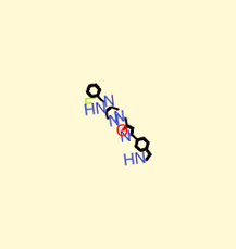 Fc1ccccc1-c1nc2c([nH]1)C=NN(Cc1cc(-c3ccc4cc[nH]c4c3)no1)C2